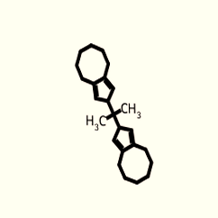 CC(C)(C1C=C2CCCCCCC2=C1)C1C=C2CCCCCCC2=C1